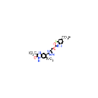 O=C(Nc1ccc(C(=O)O)cc1F)OCc1c[nH]c(-c2cc3nc(C(=O)O)c(=O)[nH]c3cc2[N+](=O)[O-])n1